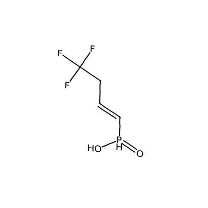 O=[PH](O)C=CCC(F)(F)F